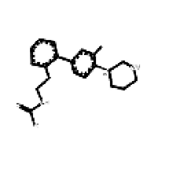 CCC(=O)NCCc1ccccc1-c1ccc([C@@H]2CCCNC2)c(C)c1